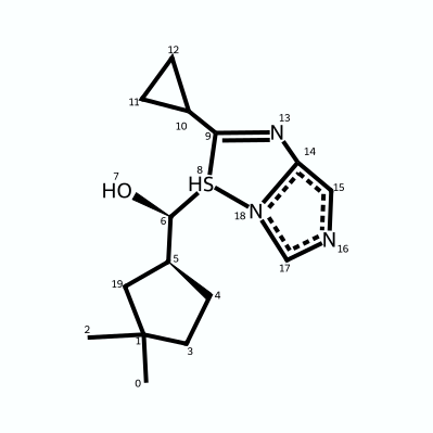 CC1(C)CC[C@H]([C@@H](O)[SH]2C(C3CC3)=Nc3cncn32)C1